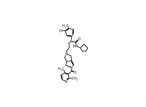 Cc1ccc(N(CCCN2CC3=CN(C(=O)c4c(C)ccnc4C)CC3C2)C(=O)NC2CCCC2)cc1Cl